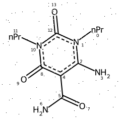 CCCn1c(N)c(C(N)=O)c(=O)n(CCC)c1=O